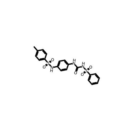 Cc1ccc(S(=O)(=O)Nc2ccc(NC(=O)NS(=O)(=O)c3ccccc3)cc2)cc1